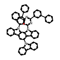 c1ccc(-c2ccc(-n3c4ccccc4c4cc(-n5c6ccccc6c6ccccc65)c5c6ccccc6n(-c6nc(-c7ccccc7)nc(-c7cccc(-c8ccccc8)c7)n6)c5c43)cc2)cc1